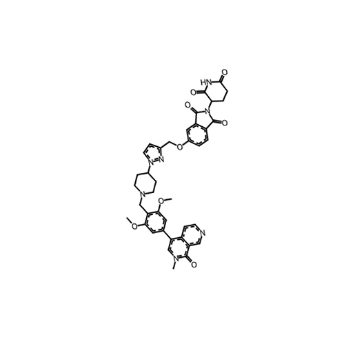 COc1cc(-c2cn(C)c(=O)c3cnccc23)cc(OC)c1CN1CCC(n2ccc(COc3ccc4c(c3)C(=O)N(C3CCC(=O)NC3=O)C4=O)n2)CC1